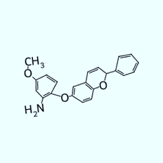 COc1ccc(Oc2ccc3c(c2)C=CC(c2ccccc2)O3)c(N)c1